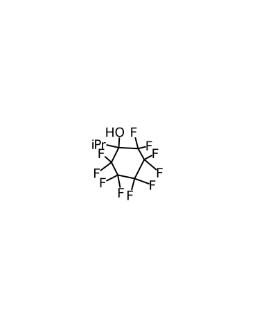 CC(C)C1(O)C(F)(F)C(F)(F)C(F)(F)C(F)(F)C1(F)F